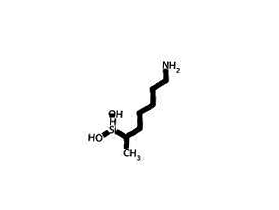 CC(CCCCCN)[SiH](O)O